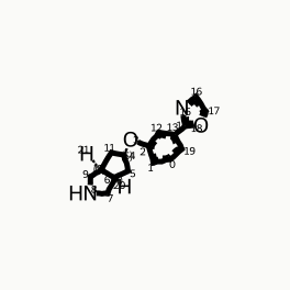 c1cc(O[C@@H]2C[C@H]3CNC[C@H]3C2)cc(-c2ncco2)c1